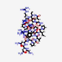 CC[C@H](C)[C@H](NC(=O)[C@H](CCCNC(=N)N)NC(=O)[C@@H]1CCCN1C(=O)[C@H](Cc1cnc[nH]1)NC(=O)[C@@H]1CCCN1C(=O)[C@@H]1CCCN1C(=O)[C@H](CCCNC(=N)N)NC(=O)[C@@H]1CCCN1C(=O)[C@H](CCC(N)=O)NC(=O)[C@@H]1CCCN1C(=O)[C@@H](NC(=O)[C@H](Cc1ccc(O)cc1)NC(=O)[C@@H](NC(=O)[C@@H]1CCCN1C(=O)[C@H](CCCNC(=N)N)NC(=O)[C@H](CC(N)=O)NC(=O)[C@H](CC(N)=O)NC(=O)CN)C(C)C)[C@@H](C)CC)C(=O)O